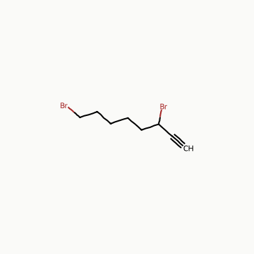 C#CC(Br)CCCCCBr